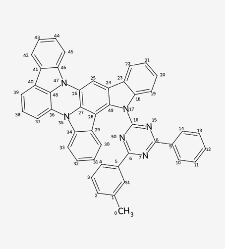 Cc1cccc(-c2nc(-c3ccccc3)nc(-n3c4ccccc4c4cc5c6c(c7ccccc7n6c6cccc7c8ccccc8n5c76)c43)n2)c1